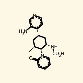 C[C@@H]1C[C@H](c2ccncc2N)C[C@H](NC(=O)O)[C@@H]1n1ccccc1=O